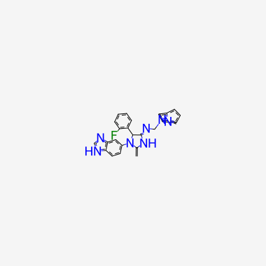 C=C1N/C(=N\Cn2c3cc4ccc3n42)C(c2ccccc2F)N1c1ccc2[nH]cnc2c1